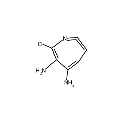 NC1=CC=C=NC(Cl)=C1N